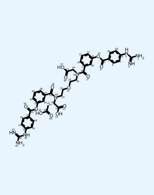 N=C(N)Nc1ccc(C(=O)Oc2cccc(C(=O)N(CCOCCN(C(=O)c3cccc(OC(=O)c4ccc(NC(=N)N)cc4)c3)[C@@H](CC(=O)O)C(=O)O)CC(=O)O)c2)cc1